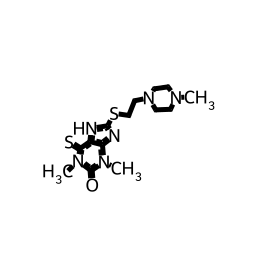 CN1CCN(CCSc2nc3c([nH]2)c(=S)n(C)c(=O)n3C)CC1